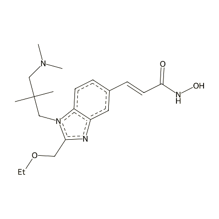 CCOCc1nc2cc(C=CC(=O)NO)ccc2n1CC(C)(C)CN(C)C